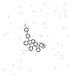 Fc1ccc(-c2ccc(-c3c4ccccc4c(-c4ccccc4-c4cccc5c4-c4ccccc4C54C5CC6CC(C5)CC4C6)c4ccccc34)cc2)cc1